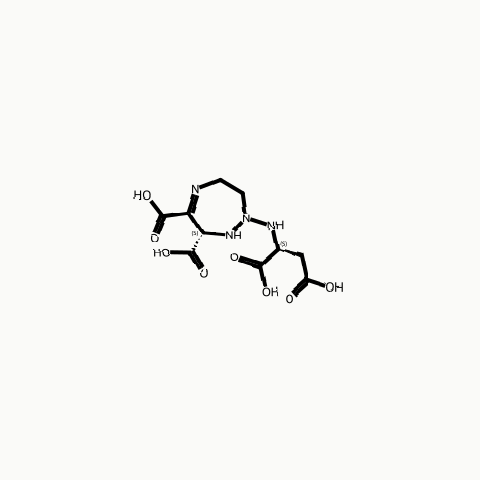 O=C(O)C[C@H](NN1CCN=C(C(=O)O)[C@@H](C(=O)O)N1)C(=O)O